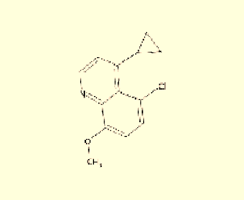 COc1ccc(Cl)c2c(C3CC3)ccnc12